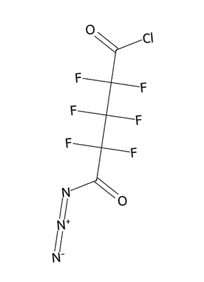 [N-]=[N+]=NC(=O)C(F)(F)C(F)(F)C(F)(F)C(=O)Cl